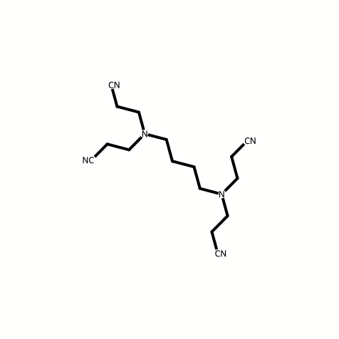 N#CCCN(CCC#N)CCCCN(CCC#N)CCC#N